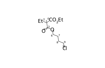 CCOC(=O)C(CC)C(=O)OCCCCCl